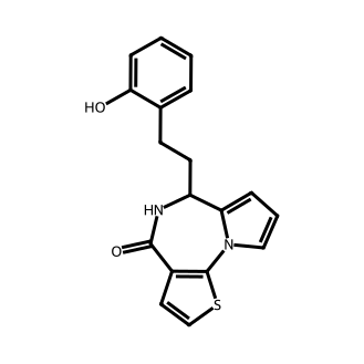 O=C1NC(CCc2ccccc2O)c2cccn2-c2sccc21